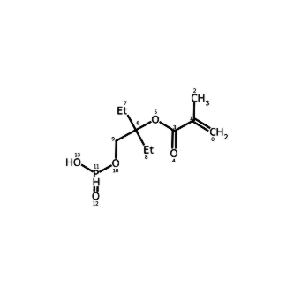 C=C(C)C(=O)OC(CC)(CC)CO[PH](=O)O